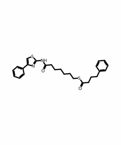 O=C(CCCCCCSC(=O)CCCc1ccccc1)Nc1nc(-c2ccccc2)cs1